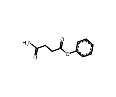 NC(=O)CCC(=O)Oc1ccccc1